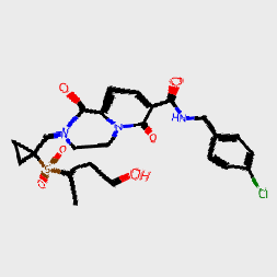 CC(CCO)S(=O)(=O)C1(CN2CCn3c(ccc(C(=O)NCc4ccc(Cl)cc4)c3=O)C2=O)CC1